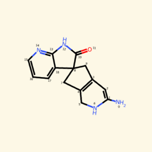 NC1=CC2=C(CN1)CC1(C2)C(=O)Nc2ncccc21